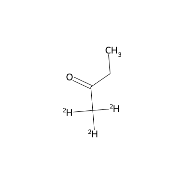 [2H]C([2H])([2H])C(=O)CC